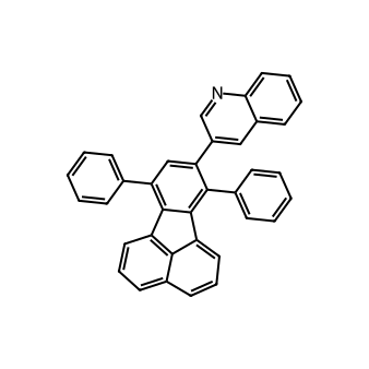 c1ccc(-c2cc(-c3cnc4ccccc4c3)c(-c3ccccc3)c3c2-c2cccc4cccc-3c24)cc1